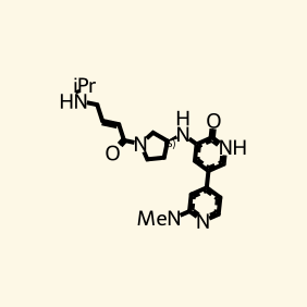 CNc1cc(-c2c[nH]c(=O)c(N[C@H]3CCN(C(=O)C=CCNC(C)C)C3)c2)ccn1